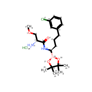 COC[C@@H](N)C(=O)N[C@@H](CCCc1cccc(Cl)c1)B1OC(C)(C)C(C)(C)O1.Cl